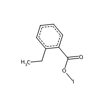 CCc1ccccc1C(=O)OI